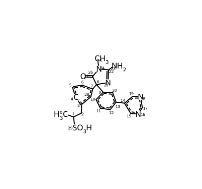 CC(Cc1cccc(C2(c3cccc(-c4cncnc4)c3)N=C(N)N(C)C2=O)c1)S(=O)(=O)O